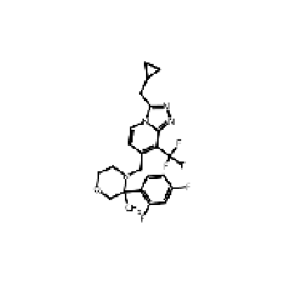 CC1(c2ccc(F)cc2F)COCCN1Cc1ccn2c(CC3CC3)nnc2c1C(F)(F)F